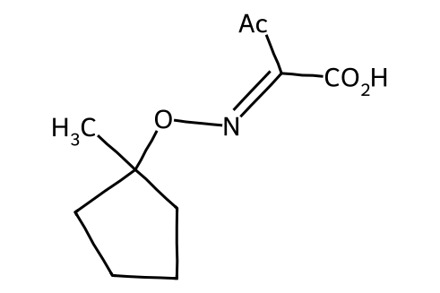 CC(=O)/C(=N\OC1(C)CCCC1)C(=O)O